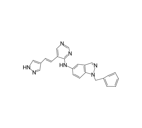 C(=C\c1cncnc1Nc1ccc2c(cnn2Cc2ccccc2)c1)/c1cn[nH]c1